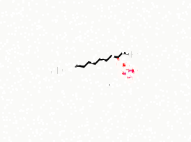 CCCCCCCCCCCCCCCCCC(CC(C)C)OOP(=O)([O-])[O-].[K+].[K+]